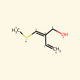 C=C/C(=C\SC)CO